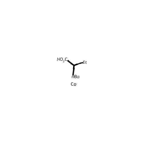 CCCCC(CC)C(=O)O.[Co]